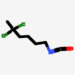 C[Si](Cl)(Cl)CCCCN=C=O